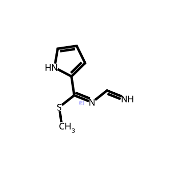 CS/C(=N/C=N)c1ccc[nH]1